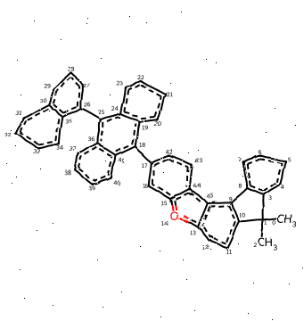 CC1(C)c2ccccc2-c2c1ccc1oc3cc(-c4c5ccccc5c(-c5cccc6ccccc56)c5ccccc45)ccc3c21